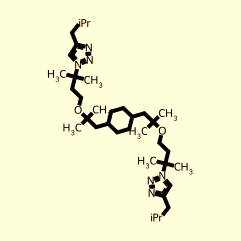 CC(C)Cc1cn(C(C)(C)CCOC(C)(C)CC2CCC(CC(C)(C)OCCC(C)(C)n3cc(CC(C)C)nn3)CC2)nn1